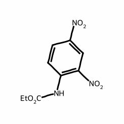 CCOC(=O)Nc1ccc([N+](=O)[O-])cc1[N+](=O)[O-]